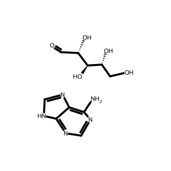 Nc1ncnc2[nH]cnc12.O=C[C@H](O)[C@H](O)[C@H](O)CO